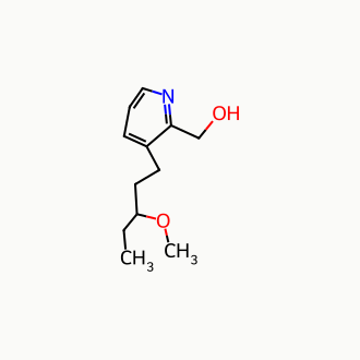 CCC(CCc1cccnc1CO)OC